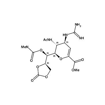 CNC(=O)O[C@@H]([C@@H]1OC(C(=O)OC)=C[C@H](NC(=N)N)[C@H]1NC(C)=O)[C@H]1COC(=O)O1